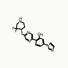 Oc1cc(-n2ccnc2)ccc1-c1cnc(S[C@@H]2CCNCC2(F)F)cn1